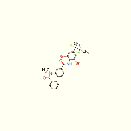 CN(C(=O)c1ccccc1)c1cccc(C(=O)Nc2c(Br)cc(C(F)(C(F)(F)F)C(F)(F)C(F)(F)F)cc2Br)c1